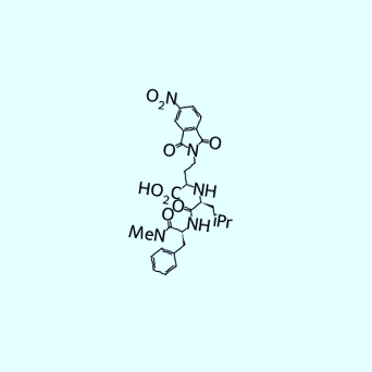 CNC(=O)[C@H](Cc1ccccc1)NC(=O)[C@H](CC(C)C)NC(CCN1C(=O)c2ccc([N+](=O)[O-])cc2C1=O)C(=O)O